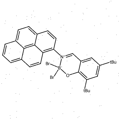 CC(C)(C)c1cc2c(c(C(C)(C)C)c1)O[B-](Br)(Br)[N+](c1ccc3ccc4cccc5ccc1c3c45)=C2